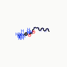 CC/C=C\C/C=C\C/C=C\C/C=C\C/C=C\C/C=C\CCC(=O)N[C@@H](C)C(=O)Nc1ccc(CNC(=N)NC(=N)N(C)C)cc1